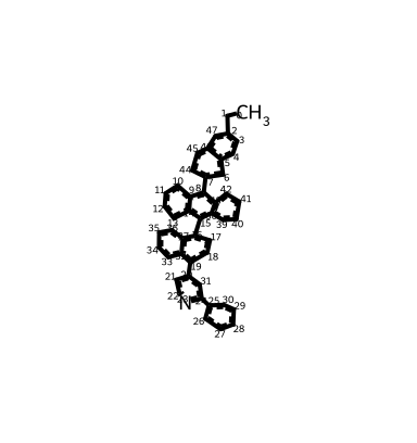 CCc1ccc2cc(-c3c4ccccc4c(-c4ccc(-c5ccnc(-c6ccccc6)c5)c5ccccc45)c4ccccc34)ccc2c1